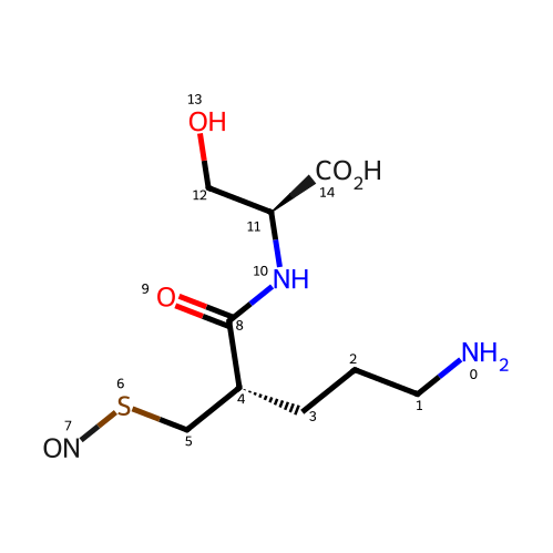 NCCC[C@H](CSN=O)C(=O)N[C@@H](CO)C(=O)O